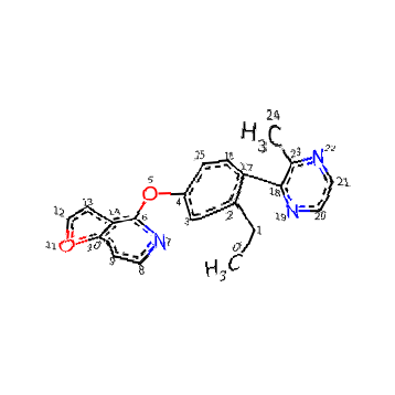 CCc1cc(Oc2nccc3occc23)ccc1-c1nccnc1C